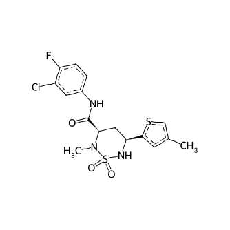 Cc1csc([C@@H]2C[C@H](C(=O)Nc3ccc(F)c(Cl)c3)N(C)S(=O)(=O)N2)c1